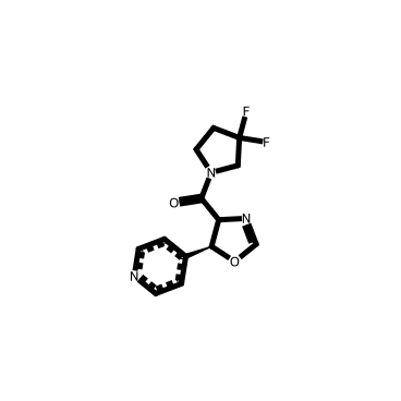 O=C(C1N=CO[C@H]1c1ccncc1)N1CCC(F)(F)C1